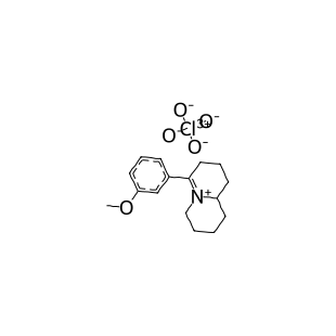 COc1cccc(C2=[N+]3CCCCC3CCC2)c1.[O-][Cl+3]([O-])([O-])[O-]